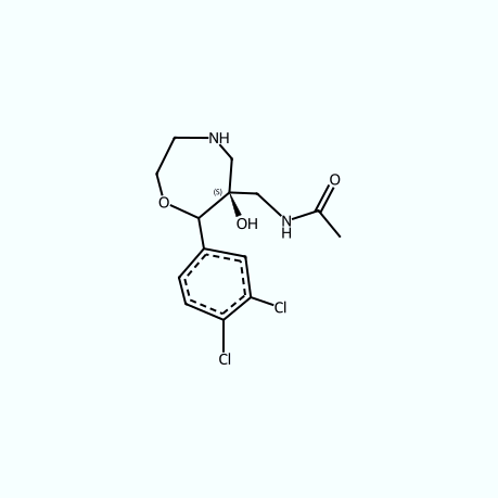 CC(=O)NC[C@@]1(O)CNCCOC1c1ccc(Cl)c(Cl)c1